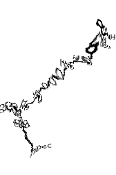 CCCCCCCCCCCCCCCC(=O)OC[C@H](CSCC(NC(=O)CCCC(=O)NCCCOCCOCCOCCCNC(=O)CCCC(=O)NCc1ccc(Cn2c(CCCC)nc3c(N)nc4ccccc4c32)cc1)C(=O)N[C@@H](CO)C(=O)OC)OC=O